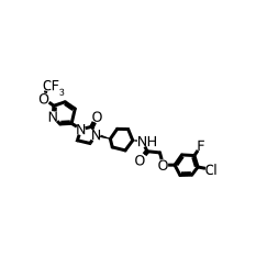 O=C(COc1ccc(Cl)c(F)c1)N[C@H]1CC[C@H](N2CCN(c3ccc(OC(F)(F)F)nc3)C2=O)CC1